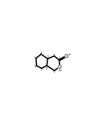 O=C1CC2CCCCC2CO1